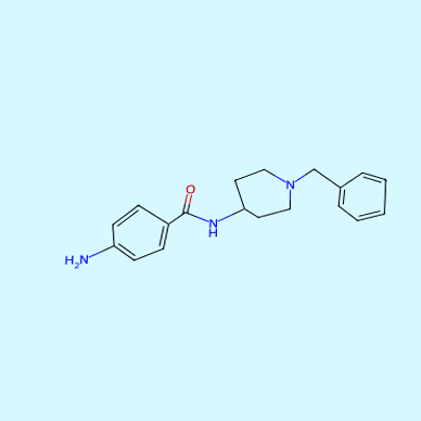 Nc1ccc(C(=O)NC2CCN(Cc3ccccc3)CC2)cc1